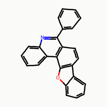 c1ccc(-c2nc3ccccc3c3c2ccc2c4ccccc4oc23)cc1